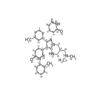 Cc1cccc(-c2nn3c(c2-c2ccc(=O)n(-c4ccccc4C)n2)NCC(CN(C)C)C3)c1.O=c1cccn[nH]1